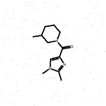 Cc1nc(C(=O)N2CCCC(C)C2)cn1C